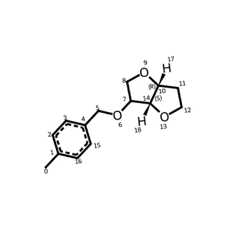 Cc1ccc(COC2CO[C@@H]3CCO[C@H]23)cc1